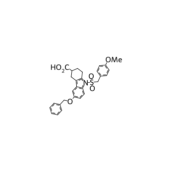 COc1ccc(CS(=O)(=O)n2c3c(c4cc(OCc5ccccc5)ccc42)CC(C(=O)O)CC3)cc1